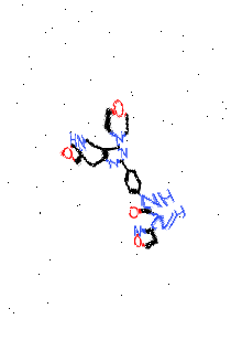 O=C(Nc1ccc(-c2nc3c(c(N4CCOCC4)n2)CNC2(COC2)C3)cc1)Nc1ccon1